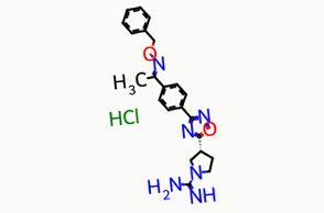 C/C(=N\OCc1ccccc1)c1ccc(-c2noc([C@@H]3CCN(C(=N)N)C3)n2)cc1.Cl